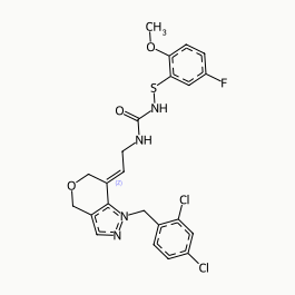 COc1ccc(F)cc1SNC(=O)NC/C=C1\COCc2cnn(Cc3ccc(Cl)cc3Cl)c21